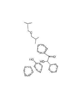 CC(C)COCC(C)C.O=C(c1ccccc1)C(O)c1ccccc1.Oc1ccccc1.c1ccccc1